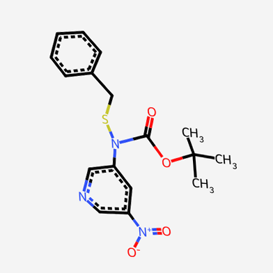 CC(C)(C)OC(=O)N(SCc1ccccc1)c1cncc([N+](=O)[O-])c1